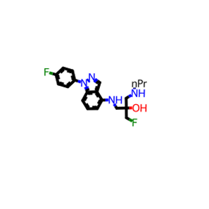 CCCNCC(O)(CF)CNc1cccc2c1cnn2-c1ccc(F)cc1